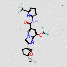 C[C@@]12CC[C@@](c3cn4cc(C(=O)Nc5cccc(C(F)F)n5)cc(OC(F)F)c4n3)(CO1)C2